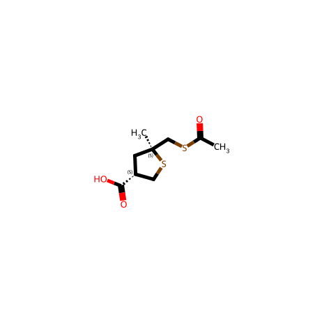 CC(=O)SC[C@]1(C)C[C@@H](C(=O)O)CS1